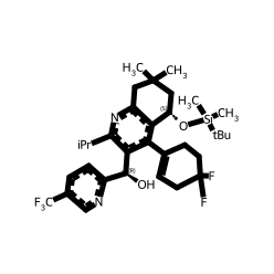 CC(C)c1nc2c(c(C3=CCC(F)(F)CC3)c1[C@@H](O)c1ccc(C(F)(F)F)cn1)[C@@H](O[Si](C)(C)C(C)(C)C)CC(C)(C)C2